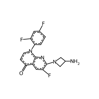 NC1CN(c2nc3c(cc2F)c(=O)ccn3-c2ccc(F)cc2F)C1